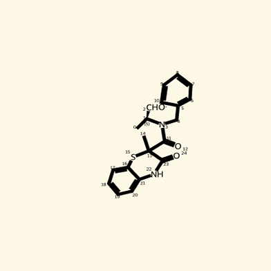 C[C@@H]([C]=O)N(Cc1ccccc1)C(=O)C1(C)Sc2ccccc2NC1=O